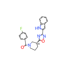 O=C(c1ccc(F)cc1)N1CCC[C@H](c2nc(-c3cc4ccccc4[nH]3)no2)C1